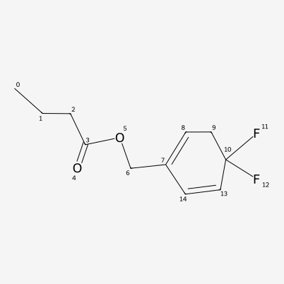 CCCC(=O)OCC1=CCC(F)(F)C=C1